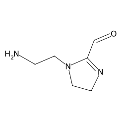 NCCN1CCN=C1C=O